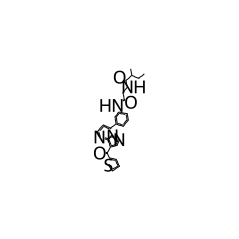 CCC(C)C(=O)NCC(=O)Nc1cccc(-c2ccnc3c(C(=O)c4cccs4)cnn23)c1